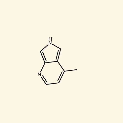 Cc1ccnc2c[nH]cc12